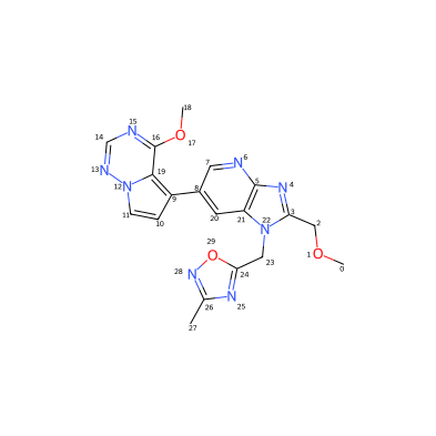 COCc1nc2ncc(-c3ccn4ncnc(OC)c34)cc2n1Cc1nc(C)no1